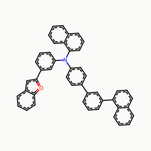 c1cc(-c2ccc(N(c3cccc(-c4cc5ccccc5o4)c3)c3cccc4ccccc34)cc2)cc(-c2cccc3ccccc23)c1